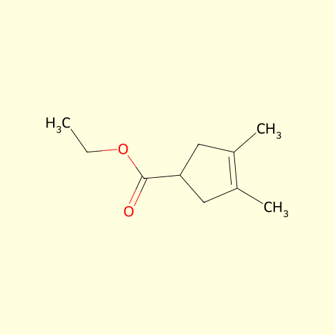 CCOC(=O)C1CC(C)=C(C)C1